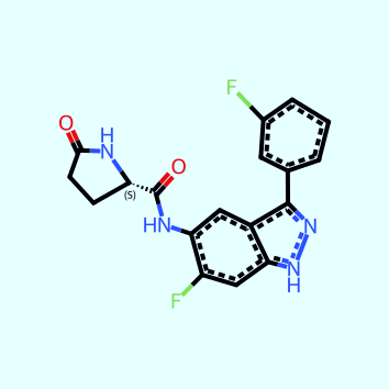 O=C1CC[C@@H](C(=O)Nc2cc3c(-c4cccc(F)c4)n[nH]c3cc2F)N1